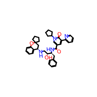 O=C(N[C@@H](Cc1ccccc1)[C@H](O)CN[C@H]1CC2(CCCC2)Oc2ccccc21)c1cc(-c2ccccn2)c(=O)n(C2CCCC2)c1